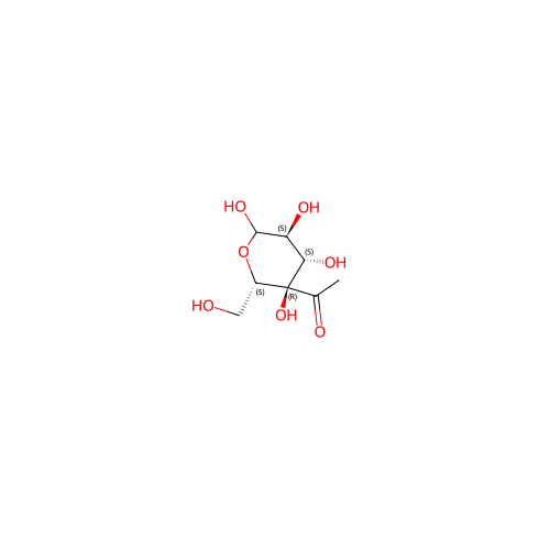 CC(=O)[C@]1(O)[C@H](CO)OC(O)[C@@H](O)[C@@H]1O